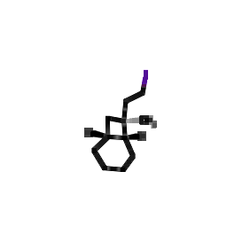 C[C@@]1(CCI)C[C@H]2CCCC[C@H]21